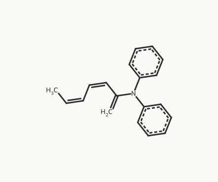 C=C(/C=C\C=C/C)N(c1ccccc1)c1ccccc1